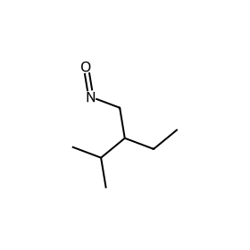 CCC(CN=O)C(C)C